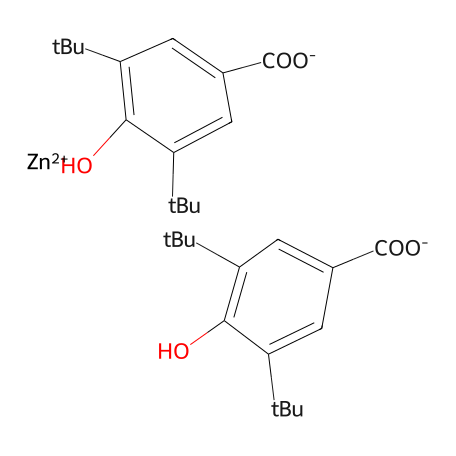 CC(C)(C)c1cc(C(=O)[O-])cc(C(C)(C)C)c1O.CC(C)(C)c1cc(C(=O)[O-])cc(C(C)(C)C)c1O.[Zn+2]